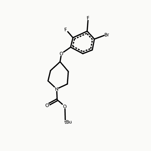 CC(C)(C)OC(=O)N1CCC(Oc2ccc(Br)c(F)c2F)CC1